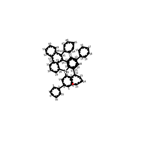 c1ccc(-c2cccc(N(c3ccc(-c4ccccc4)cc3-c3ccccc3)c3cccc4c3c(-c3ccccc3)c(-c3ccccc3)c3ccccc34)c2)cc1